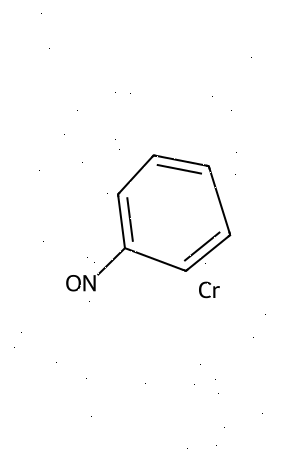 O=Nc1ccccc1.[Cr]